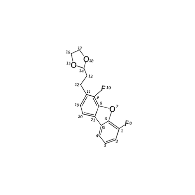 Fc1cccc2c1oc1c(F)c(CCC3OCCO3)ccc12